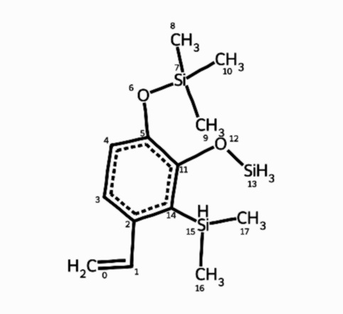 C=Cc1ccc(O[Si](C)(C)C)c(O[SiH3])c1[SiH](C)C